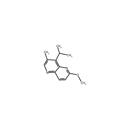 COc1ccc2ncc(C)c(C(C)C)c2n1